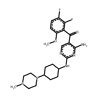 COc1ccc(F)c(F)c1C(=O)c1cnc(NC2CCC(N3CCN(C)CC3)CC2)nc1N